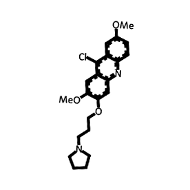 COc1ccc2nc3cc(OCCCN4CCCC4)c(OC)cc3c(Cl)c2c1